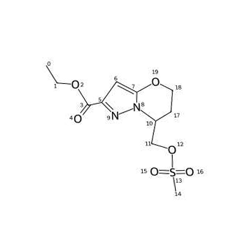 CCOC(=O)c1cc2n(n1)C(COS(C)(=O)=O)CCO2